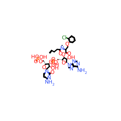 C=CCCC(=O)N(C)C(COc1ccccc1Cl)C(=O)O[C@H]1[C@@H](O)[C@H](n2cnc3c(N)ncnc32)O[C@@H]1COP(=O)(O)O[C@H]1[C@@H](O)[C@H](n2ccc(N)nc2=O)O[C@@H]1COP(=O)(O)O